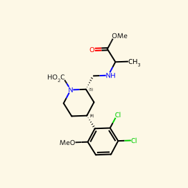 COC(=O)C(C)NC[C@@H]1C[C@H](c2c(OC)ccc(Cl)c2Cl)CCN1C(=O)O